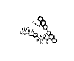 CCN(CC)Cc1cc(S(=O)(=O)NC(=O)Nc2c3c(cc4c2CC(C2Cc5cc6c(c(N=C=O)c5C2)CCC6)C4)CCC3)nn1C